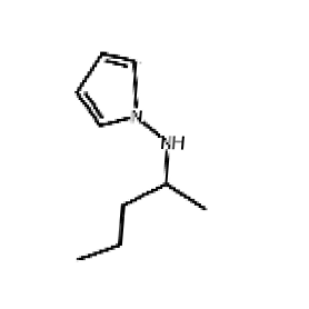 CCCC(C)Nn1[c]ccc1